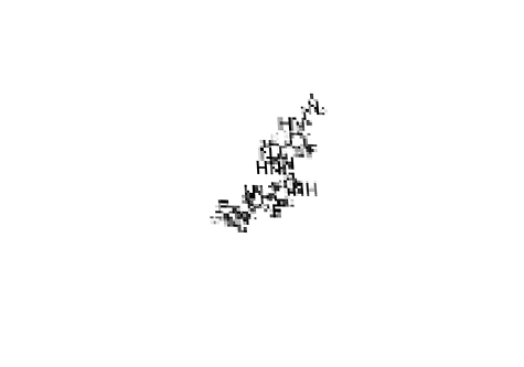 CN(C)CCNc1cc(F)cc(-c2ccnc3[nH]c(-c4n[nH]c5cc(F)c(-c6cncc(CN7CCC(F)(F)C7)c6)cc45)nc23)c1